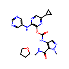 Cn1ncc(NC(=O)Oc2nc(C3CC3)cnc2Nc2cncnc2)c1C(=O)NC[C@@H]1CCCO1